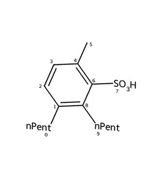 CCCCCc1ccc(C)c(S(=O)(=O)O)c1CCCCC